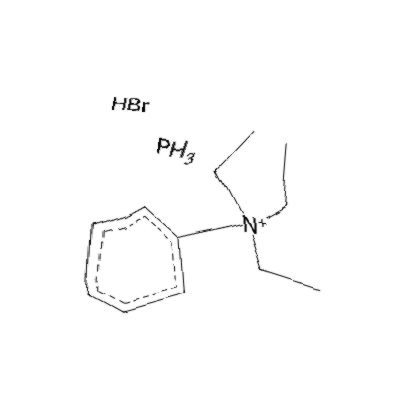 Br.CC[N+](CC)(CC)c1ccccc1.P